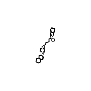 O=C(CCCCCN1CCN(c2ccc3c(c2)CCCC3)CC1)N1Cc2ccccc2C1